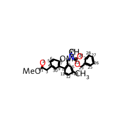 COC(=O)Cc1ccc(OC)c(-c2ccc(C)cc2CN(C)C(=O)OCc2ccccc2)c1